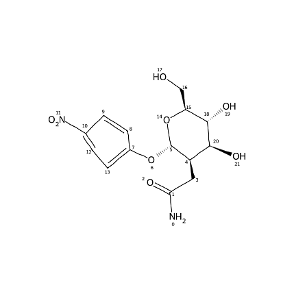 NC(=O)C[C@H]1[C@H](Oc2ccc([N+](=O)[O-])cc2)O[C@@H](CO)[C@H](O)[C@H]1O